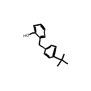 CC(C)(C)c1ccc(Cc2ccccc2O)cc1